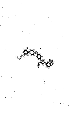 CCOc1ccc(F)c(N2CCC(Oc3ccc(N4C[C@H](c5cccc(C(F)(F)F)c5)C[C@@H]4CC#N)cc3)CC2)c1